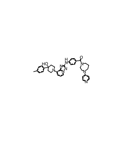 Cc1ccc(C2(O)CCN(c3cccn4nc(Nc5ccc(C(=O)N6CCCN(c7ccncc7)CC6)cc5)nc34)CC2)cc1